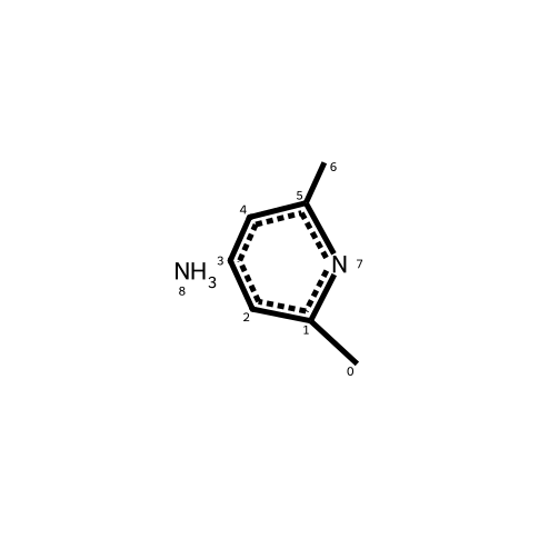 Cc1cccc(C)n1.N